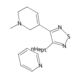 CCCCCCCc1nsnc1C1=CCCN(C)C1.c1ccncc1